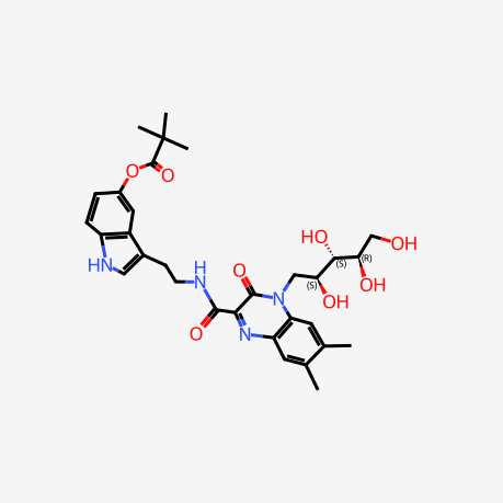 Cc1cc2nc(C(=O)NCCc3c[nH]c4ccc(OC(=O)C(C)(C)C)cc34)c(=O)n(C[C@H](O)[C@H](O)[C@H](O)CO)c2cc1C